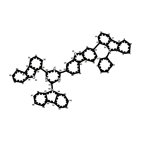 c1ccc(-n2c3ccccc3c3cccc(-c4ccc5c(c4)oc4cc(-c6nc(-c7cccc8c7oc7ccccc78)nc(-n7c8ccccc8c8ccccc87)n6)ccc45)c32)cc1